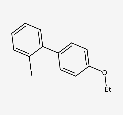 CCOc1ccc(-c2ccccc2I)cc1